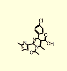 CC(=O)N1C(c2csc(C)n2)=NC(c2ccc(Cl)cc2)C(C(=O)O)=C1C